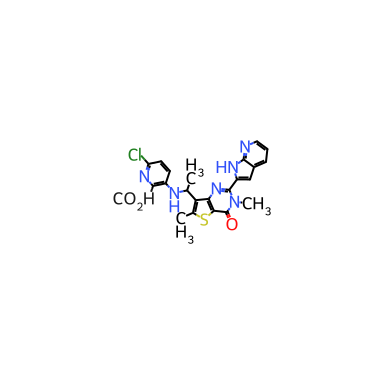 Cc1sc2c(=O)n(C)c(-c3cc4cccnc4[nH]3)nc2c1C(C)Nc1ccc(Cl)nc1C(=O)O